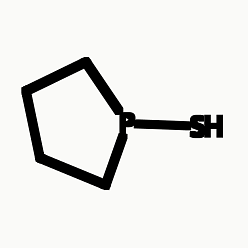 SP1CCCC1